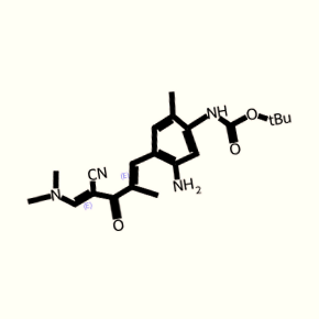 C/C(=C\c1cc(C)c(NC(=O)OC(C)(C)C)cc1N)C(=O)/C(C#N)=C/N(C)C